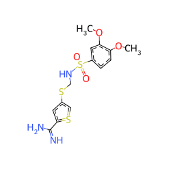 COc1ccc(S(=O)(=O)NCSc2csc(C(=N)N)c2)cc1OC